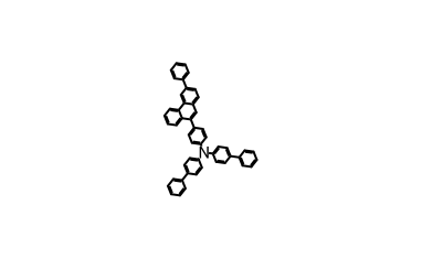 c1ccc(-c2ccc(N(c3ccc(-c4ccccc4)cc3)c3ccc(-c4cc5ccc(-c6ccccc6)cc5c5ccccc45)cc3)cc2)cc1